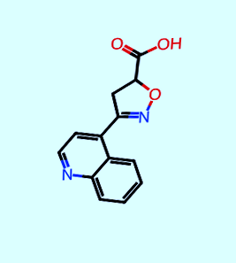 O=C(O)C1CC(c2ccnc3ccccc23)=NO1